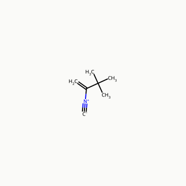 [C-]#[N+]C(=C)C(C)(C)C